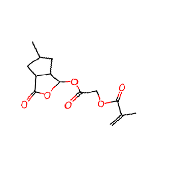 C=C(C)C(=O)OCC(=O)OC1OC(=O)C2CC(C)CC12